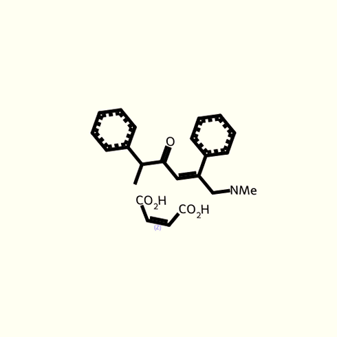 CNCC(=CC(=O)C(C)c1ccccc1)c1ccccc1.O=C(O)/C=C\C(=O)O